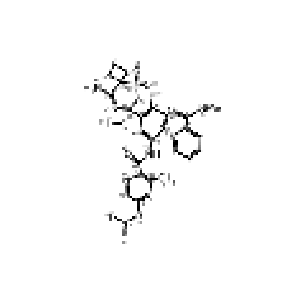 CNC(=O)c1ccccn1.Cc1cc(OC(F)F)cnc1C(=O)Nc1ccc(F)c([C@]2(CF)CS(=O)(=O)C3(CCC3)C(N)=N2)c1